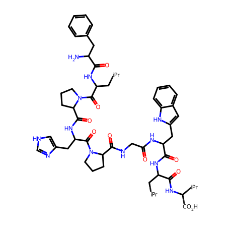 CC(C)CC(NC(=O)C(Cc1cc2ccccc2[nH]1)NC(=O)CNC(=O)C1CCCN1C(=O)C(Cc1c[nH]cn1)NC(=O)C1CCCN1C(=O)C(CC(C)C)NC(=O)C(N)Cc1ccccc1)C(=O)NC(C(=O)O)C(C)C